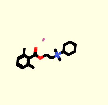 Cc1cccc(C)c1C(=O)OCC[N+](C)(C)C1CCCCC1.[I-]